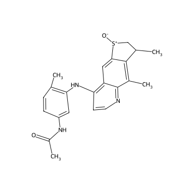 CC(=O)Nc1ccc(C)c(Nc2ccnc3c(C)c4c(cc23)[S+]([O-])CC4C)c1